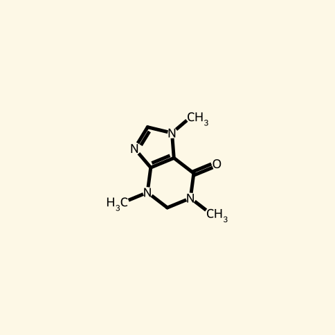 CN1CN(C)c2ncn(C)c2C1=O